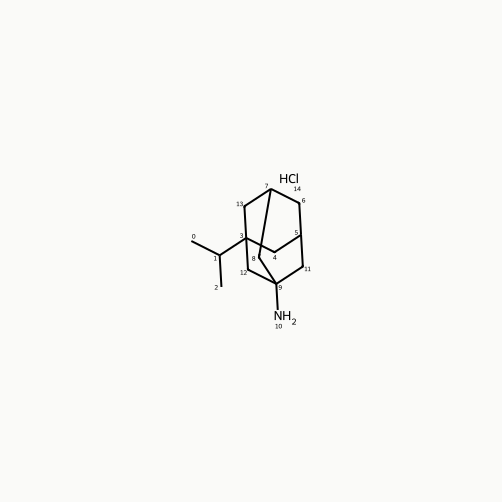 CC(C)C12CC3CC(CC(N)(C3)C1)C2.Cl